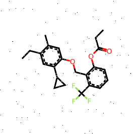 CCC(=O)Oc1cccc(C(F)(F)F)c1COc1cc(C)c(CC)cc1C1CC1